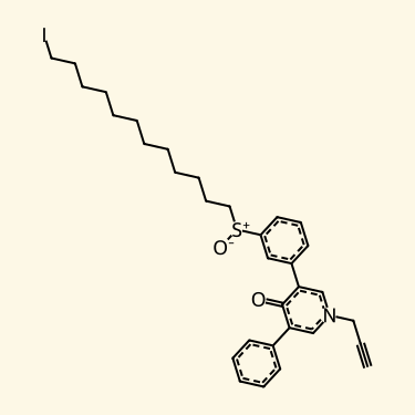 C#CCn1cc(-c2ccccc2)c(=O)c(-c2cccc([S+]([O-])CCCCCCCCCCCCI)c2)c1